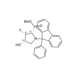 COC(=O)[C@H]1[C@@H](F)[C@@H](O)CN1C1(c2ccccc2)c2ccccc2-c2ccccc21